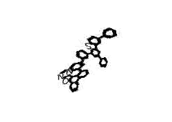 c1ccc(-c2ccc3sc4c(-c5cccc(-c6cccc(-c7cccc8c9ccccc9c9oc%10nccnc%10c9c78)c6)c5)cc(-c5ccccc5)cc4c3c2)cc1